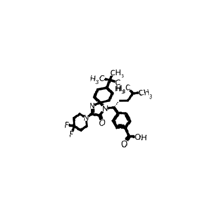 CC(C)CC[C@H](c1ccc(C(=O)O)cc1)N1C(=O)C(N2CCC(F)(F)CC2)=NC12CCC(C(C)(C)C)CC2